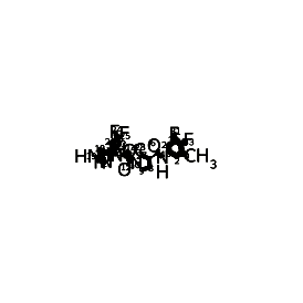 Cc1cc(NC(=O)[C@H]2CCN(C(=O)C(=O)NC3(c4c[nH]nn4)CC(F)(F)C3)[C@H]2C)cc(F)c1F